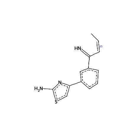 C/C=C\C(=N)c1cccc(-c2csc(N)n2)c1